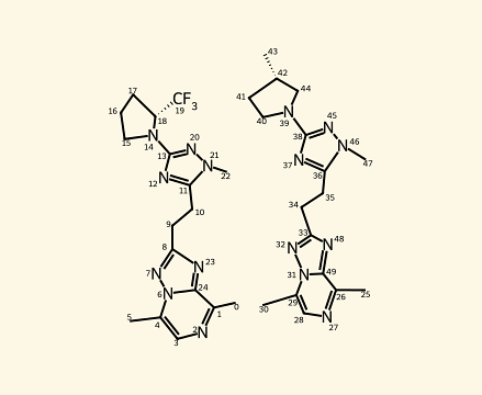 Cc1ncc(C)n2nc(CCc3nc(N4CCC[C@@H]4C(F)(F)F)nn3C)nc12.Cc1ncc(C)n2nc(CCc3nc(N4CC[C@H](C)C4)nn3C)nc12